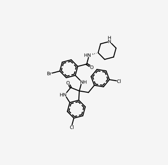 O=C(N[C@H]1CCCNC1)c1ccc(Br)cc1NC1(Cc2cccc(Cl)c2)C(=O)Nc2cc(Cl)ccc21